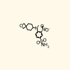 CN(c1ccc(S(N)(=O)=O)cc1[N+](=O)[O-])C1CCC2(CC1)COC2